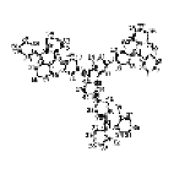 Cc1ccccc1N(c1ccc(-c2ccc3c(c2)c2cc(-c4ccc(N(c5ccccc5C)c5ccccc5C)cc4)ccc2n3-c2ccc(-c3c4ccccc4c(-c4ccccc4)c4ccccc34)cc2)cc1)c1ccccc1C